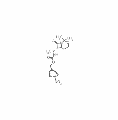 CC(NC(=O)OCc1ccc([N+](=O)[O-])cc1)[C@@H]1C(=O)N2C1CCOC2(C)C